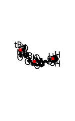 Cc1c(CCB2O[C@@H]3C[C@@H]4C[C@@H](C4(C)C)[C@]3(C)O2)ccc(OC2CN(C(=O)C[C@H]3C[C@@H](C(=O)N(C)C)N(C(=O)OC(C)(C)C)C3)C2)c1C(=O)OC(C)(C)C